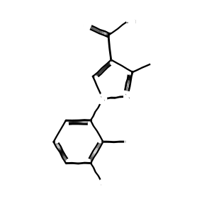 CC(C)C(=O)c1cn(-c2cccc(Cl)c2F)nc1O